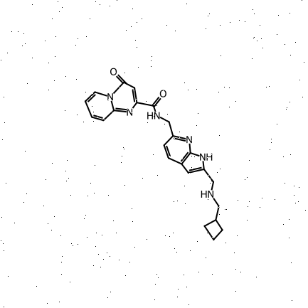 O=C(NCc1ccc2cc(CNCC3CCC3)[nH]c2n1)c1cc(=O)n2ccccc2n1